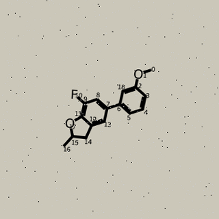 COc1cccc(-c2cc(F)c3c(c2)CC(C)O3)c1